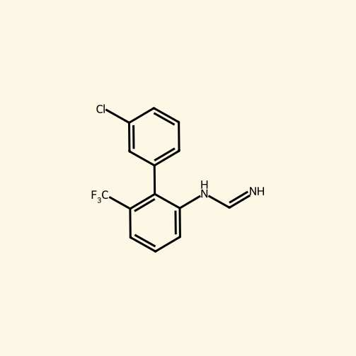 N=CNc1cccc(C(F)(F)F)c1-c1cccc(Cl)c1